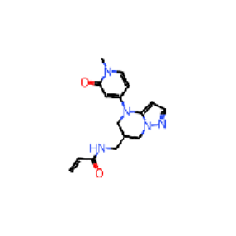 C=CC(=O)NC[C@H]1CN(c2ccn(C)c(=O)c2)c2ccnn2C1